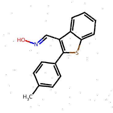 Cc1ccc(-c2sc3ccccc3c2C=NO)cc1